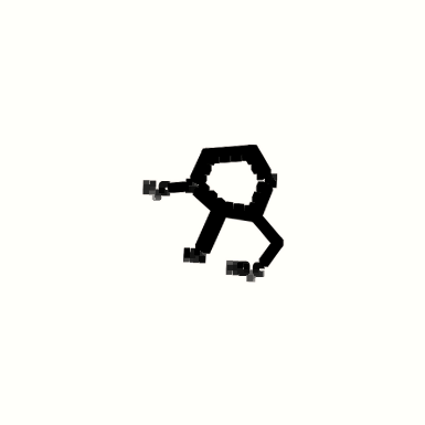 Cn1ccnc(CC(=O)O)c1=N